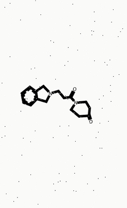 O=C1CCN(C(=O)CCN2Cc3ccccc3C2)CC1